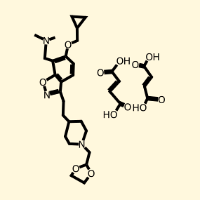 CN(C)Cc1c(OCC2CC2)ccc2c(CCC3CCN(CC4OCCO4)CC3)noc12.O=C(O)/C=C/C(=O)O.O=C(O)/C=C/C(=O)O